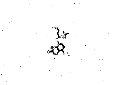 C[SiH](C)OC(CCC(C)(C)C)Oc1ccc(N)c2c1NC(=O)CC2